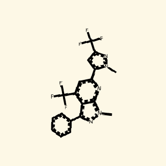 Cn1nc(C(F)(F)F)cc1-c1cc(C(F)(F)F)c2c(-c3ccccc3)nn(C)c2n1